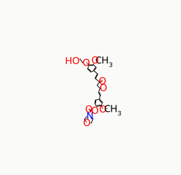 COc1cc(/C=C/C(=O)CC(=O)/C=C/c2ccc(OC(=O)N3CCOCC3)c(OC)c2)ccc1OCCO